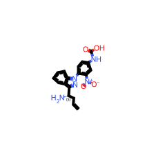 C=CC[C@H](N)c1nn(-c2ccc(NC(=O)O)cc2[N+](=O)[O-])c2ccccc12